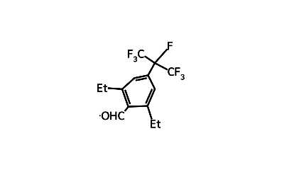 CCc1cc(C(F)(C(F)(F)F)C(F)(F)F)cc(CC)c1[C]=O